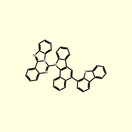 c1ccc2c(c1)nc(-n1c3ccccc3c3cc(-c4cccc5c4sc4ccccc45)c4ccccc4c31)n1c3ccccc3nc21